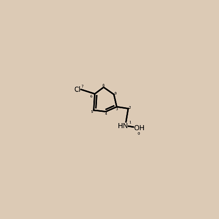 ONCC1=CC=C(Cl)CC1